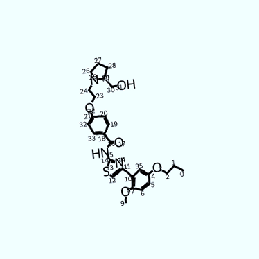 CCCOc1ccc(OC)c(-c2csc(NC(=O)c3ccc(OCCN4CCC[C@H]4CO)cc3)n2)c1